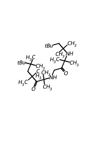 CC(C)(C)CC(C)(C)NC(C)(C)C(=O)CNC(C)(C)C(=O)C(C)(C)CC(C)(C)C(C)(C)C